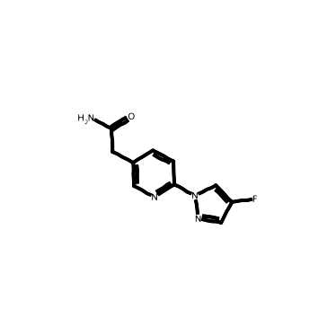 NC(=O)Cc1ccc(-n2cc(F)cn2)nc1